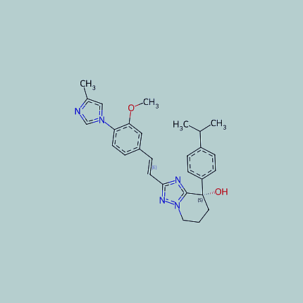 COc1cc(/C=C/c2nc3n(n2)CCC[C@]3(O)c2ccc(C(C)C)cc2)ccc1-n1cnc(C)c1